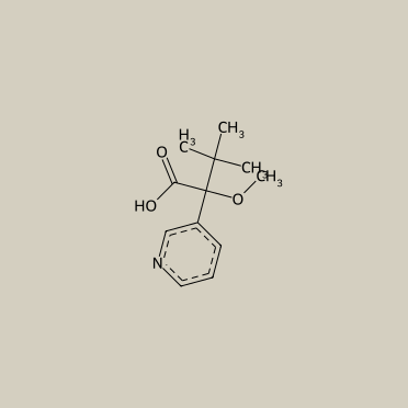 COC(C(=O)O)(c1cccnc1)C(C)(C)C